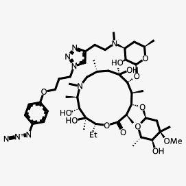 CC[C@H]1OC(=O)[C@H](C)[C@@H](O[C@H]2C[C@@](C)(OC)[C@@H](O)[C@H](C)O2)[C@H](C)[C@@H](O[C@@H]2O[C@H](C)C[C@H](N(C)CCc3cn(CCCOc4ccc(N=[N+]=[N-])cc4)nn3)[C@H]2O)[C@](C)(O)C[C@@H](C)CN(C)[C@H](C)[C@@H](O)[C@]1(C)O